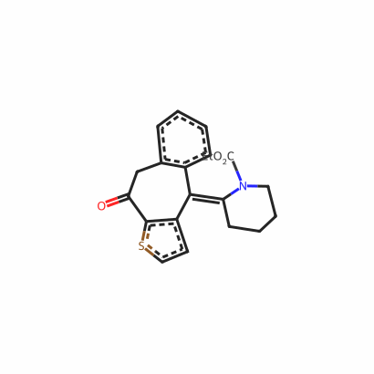 CCOC(=O)N1CCCCC1=C1c2ccccc2CC(=O)c2sccc21